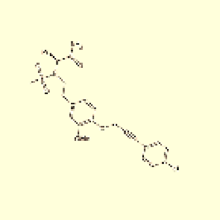 COc1cc(CCN([C@H](C(N)=O)C(C)C)S(C)(=O)=O)ccc1OCC#Cc1ccc(Cl)cc1